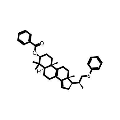 C[C@H](CSc1ccccc1)[C@H]1CC=C2C3=C(CC[C@@]21C)[C@@]1(C)CC[C@H](OC(=O)c2ccccc2)C(C)(C)[C@@H]1CC3